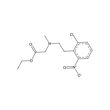 CCOC(=O)CN(C)CCc1c(Cl)cccc1[N+](=O)[O-]